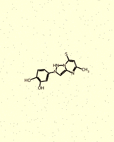 CC1=NC2=CN(c3ccc(O)c(O)c3)NN2C([S])=C1